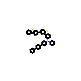 c1ccc(-c2ccc(-c3ccc(N(c4ccccc4)c4ccc5sc6ccc(-c7ccc8c(c7)sc7ccccc78)cc6c5c4)cc3)cc2)cc1